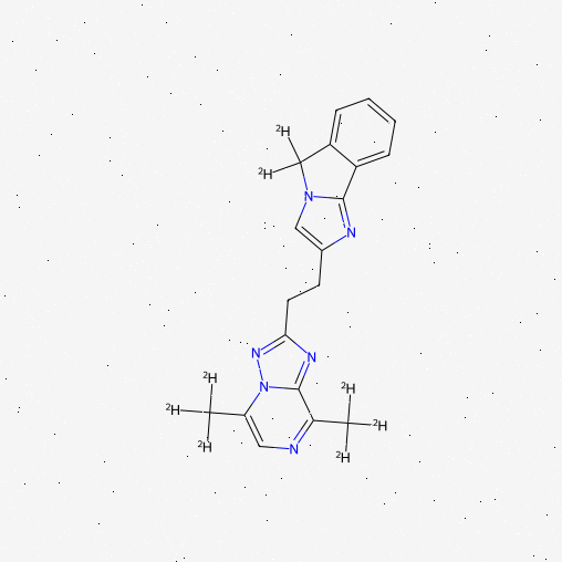 [2H]C([2H])([2H])c1ncc(C([2H])([2H])[2H])n2nc(CCc3cn4c(n3)-c3ccccc3C4([2H])[2H])nc12